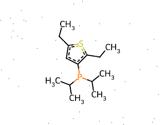 CCc1cc(P(C(C)C)C(C)C)c(CC)s1